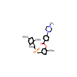 COc1cc(OC)c(/C=C/S(=O)(=O)Cc2ccc(OC)c(OC(=O)c3ccc(N4CCN(C)CC4)cc3)c2)c(OC)c1